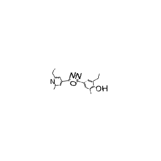 CCc1cc(-c2nnc(-c3cc(C)c(O)c(CC)c3)o2)cc(C)n1